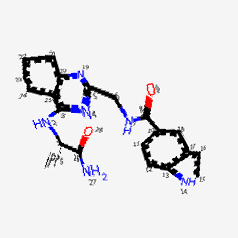 CC(C)[C@H](Nc1nc(CNC(=O)c2ccc3[nH]ccc3c2)nc2ccccc12)C(N)=O